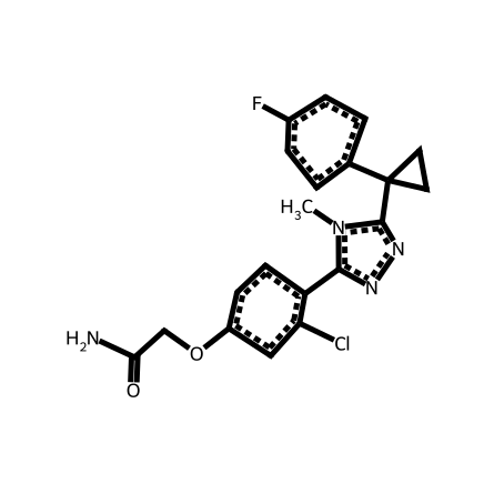 Cn1c(-c2ccc(OCC(N)=O)cc2Cl)nnc1C1(c2ccc(F)cc2)CC1